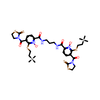 C[Si](C)(C)CCSc1c(C(=O)N2CCSC2=S)ccc(C(=O)NCCCNC(=O)c2ccc(C(=O)N3CCSC3=S)c(SCC[Si](C)(C)C)[n+]2[O-])[n+]1[O-]